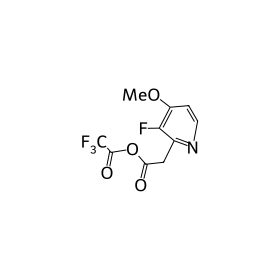 COc1ccnc(CC(=O)OC(=O)C(F)(F)F)c1F